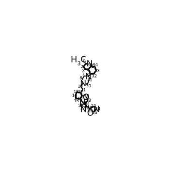 Cc1ccc2c(N3CCN(CCc4cccc5c4OCc4c(-c6cnco6)ncn4-5)CC3)cccc2n1